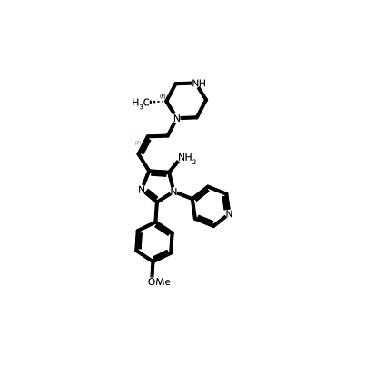 COc1ccc(-c2nc(/C=C\CN3CCNC[C@H]3C)c(N)n2-c2ccncc2)cc1